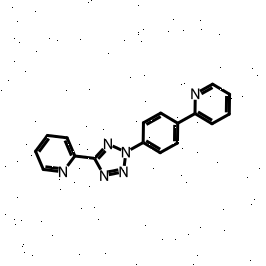 c1ccc(-c2ccc(-n3nnc(-c4ccccn4)n3)cc2)nc1